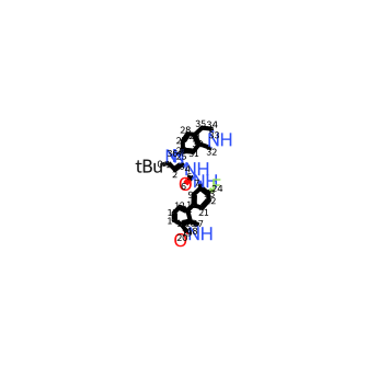 CC(C)(C)c1cc(NC(=O)Nc2cc(-c3cccc4c3CNC4=O)ccc2F)n(-c2ccc3c(c2)CNCC3)n1